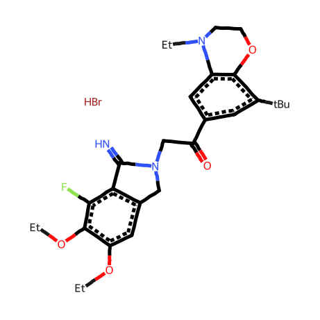 Br.CCOc1cc2c(c(F)c1OCC)C(=N)N(CC(=O)c1cc3c(c(C(C)(C)C)c1)OCCN3CC)C2